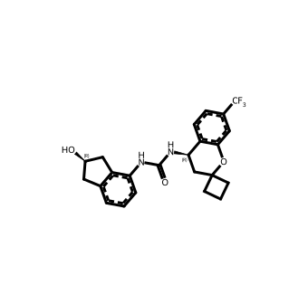 O=C(Nc1cccc2c1C[C@H](O)C2)N[C@@H]1CC2(CCC2)Oc2cc(C(F)(F)F)ccc21